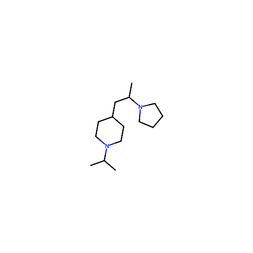 CC(C)N1CCC(CC(C)N2CCCC2)CC1